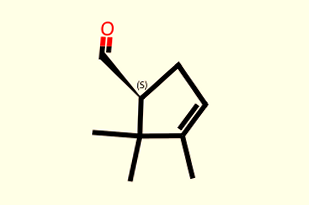 CC1=CC[C@H](C=O)C1(C)C